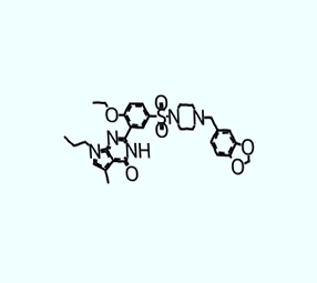 CCCn1cc(C)c2c(=O)[nH]c(-c3cc(S(=O)(=O)N4CCN(Cc5ccc6c(c5)OCO6)CC4)ccc3OCC)nc21